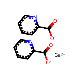 O=C([O-])c1ccccn1.O=C([O-])c1ccccn1.[Ga+2]